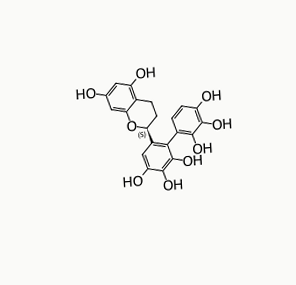 Oc1cc(O)c2c(c1)O[C@H](c1cc(O)c(O)c(O)c1-c1ccc(O)c(O)c1O)CC2